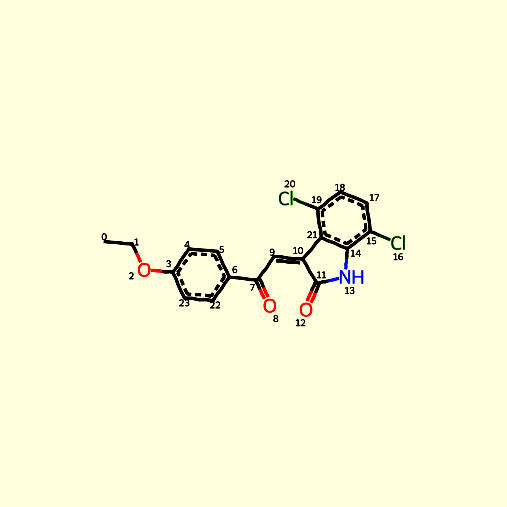 CCOc1ccc(C(=O)/C=C2\C(=O)Nc3c(Cl)ccc(Cl)c32)cc1